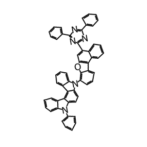 c1ccc(-c2nc(-c3ccccc3)nc(-c3cc4oc5c(-n6c7ccccc7c7c8c9ccccc9n(-c9ccccc9)c8ccc76)cccc5c4c4ccccc34)n2)cc1